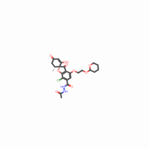 CC(=O)NNC(=O)c1cc(OCCOC2CCCCO2)c2c(c1Cl)O[C@]1(C2=O)C(O)=CC(=O)C[C@H]1C